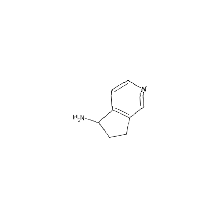 NC1CCc2cnccc21